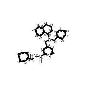 c1ccc(CNNc2nccc(CN(Cc3ccccc3)C3CCCc4ccccc43)n2)cc1